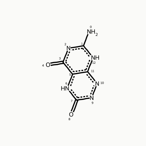 Nc1nc(=O)c2[nH]c(=O)nnc2[nH]1